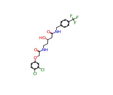 O=C(COc1ccc(Cl)c(Cl)c1)NCCC(O)CC(=O)NCc1ccc(C(F)(F)F)cc1